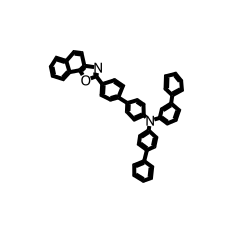 c1ccc(-c2ccc(N(c3ccc(-c4ccc(-c5nc6ccc7ccccc7c6o5)cc4)cc3)c3cccc(-c4ccccc4)c3)cc2)cc1